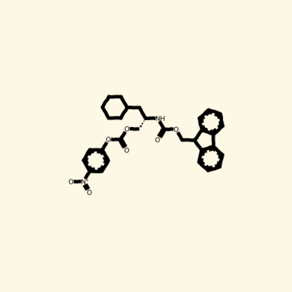 O=C(N[C@H](COC(=O)Oc1ccc([N+](=O)[O-])cc1)CC1CCCCC1)OCC1c2ccccc2-c2ccccc21